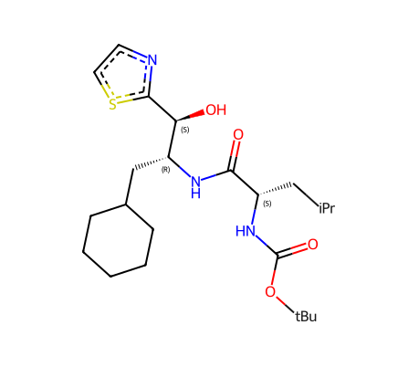 CC(C)C[C@H](NC(=O)OC(C)(C)C)C(=O)N[C@H](CC1CCCCC1)[C@H](O)c1nccs1